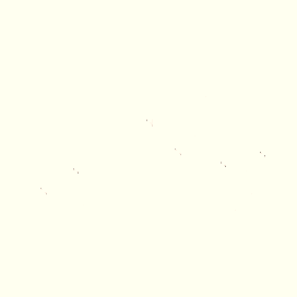 c1ccc(-c2ncc3c4ccccc4c4cnc(-c5ccc6sc7nc8ccccc8n7c6c5)nc4c3n2)cc1